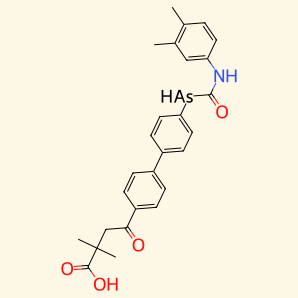 Cc1ccc(NC(=O)[AsH]c2ccc(-c3ccc(C(=O)CC(C)(C)C(=O)O)cc3)cc2)cc1C